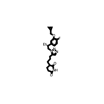 CC[C@@H](Cn1nncc1CCCC1CCC(=O)NC1=O)c1ccc(F)c(OCC2CC2)c1